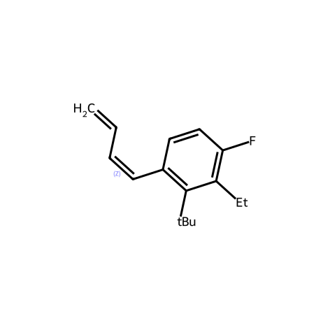 C=C/C=C\c1ccc(F)c(CC)c1C(C)(C)C